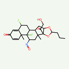 CCCC1OC2CC3C4C[C@H](F)C5=CC(=O)C=CC5(C)[C@@]4(F)C(N=O)CC3(C)C2(C(=O)CO)O1